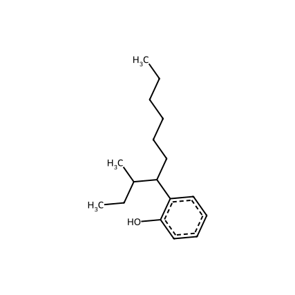 CCCCCCC(c1ccccc1O)C(C)CC